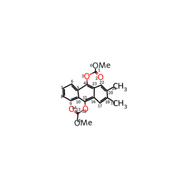 COC(=O)Oc1c2ccccc2c(OC(=O)OC)c2cc(C)c(C)cc12